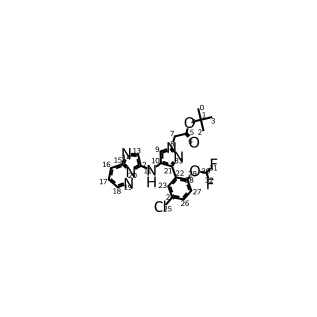 CC(C)(C)OC(=O)Cn1cc(Nc2cnc3cccnn23)c(-c2cc(Cl)ccc2OC(F)F)n1